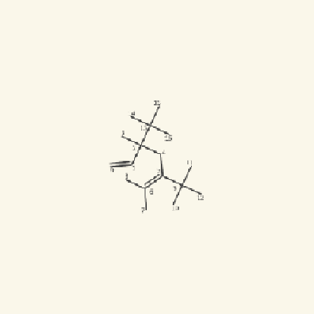 C=CC(C)(CC(=C(C)C)C(C)(C)C)C(C)(C)C